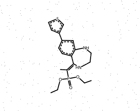 CCOP(=O)(OCC)C(C)=C1NCCNc2cc(-c3ccsc3)ccc21